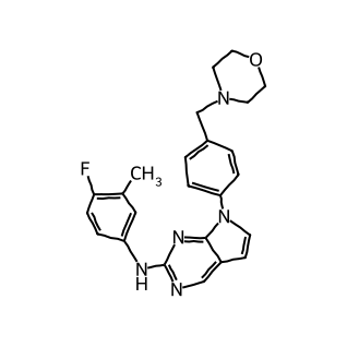 Cc1cc(Nc2ncc3ccn(-c4ccc(CN5CCOCC5)cc4)c3n2)ccc1F